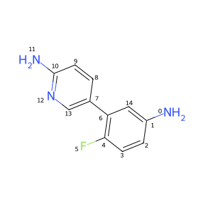 Nc1ccc(F)c(-c2ccc(N)nc2)c1